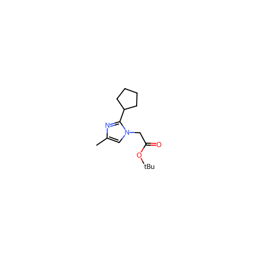 Cc1cn(CC(=O)OC(C)(C)C)c(C2CCCC2)n1